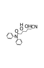 N#CC[C@@H](O)C[C@@H](O)CC(=O)N(c1ccccc1)c1ccccc1